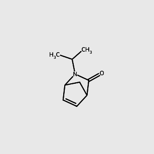 CC(C)N1C(=O)C2C=CC1C2